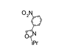 CC(C)c1nc(-c2cccc([N+](=O)[O-])c2)co1